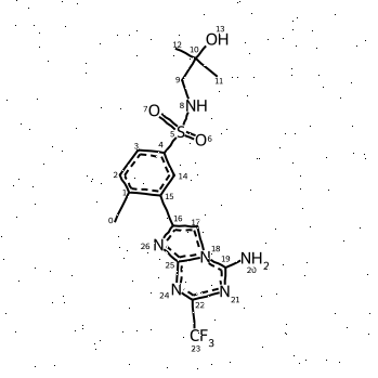 Cc1ccc(S(=O)(=O)NCC(C)(C)O)cc1-c1cn2c(N)nc(C(F)(F)F)nc2n1